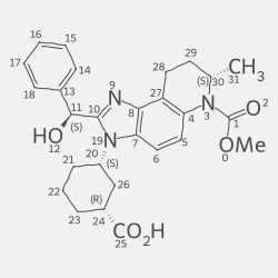 COC(=O)N1c2ccc3c(nc([C@@H](O)c4ccccc4)n3[C@H]3CCC[C@@H](C(=O)O)C3)c2CC[C@@H]1C